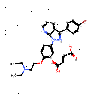 CCN(CC)CCOc1ccc(-n2nc(-c3ccc(Br)cc3)c3cccnc32)cc1.O=C(O)C=CC(=O)O